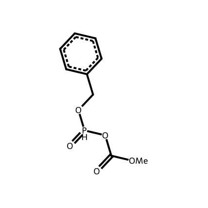 COC(=O)O[PH](=O)OCc1ccccc1